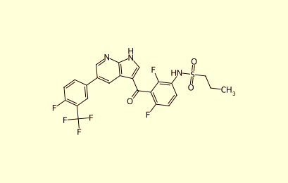 CCCS(=O)(=O)Nc1ccc(F)c(C(=O)c2c[nH]c3ncc(-c4ccc(F)c(C(F)(F)F)c4)cc23)c1F